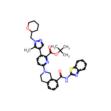 Cc1c(-c2ccc(N3CCc4cccc(C(=O)Nc5nc6ccccc6s5)c4C3)nc2C(=O)OC(C)(C)C)cnn1CC1CCCCO1